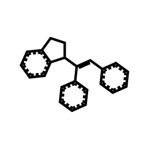 C(=C(c1ccccc1)C1CCc2ccccc21)c1ccccc1